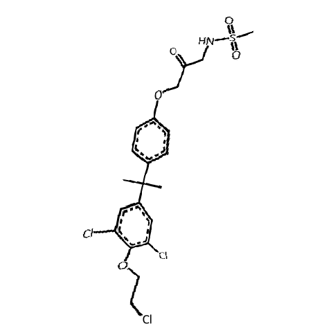 CC(C)(c1ccc(OCC(=O)CNS(C)(=O)=O)cc1)c1cc(Cl)c(OCCCl)c(Cl)c1